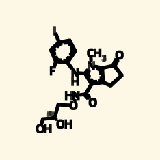 Cn1c(Nc2ccc(I)cc2F)c(C(=O)NOC[C@H](O)CO)c2c1C(=O)CC2